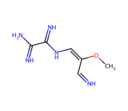 CO/C(C=N)=C/NC(=N)C(=N)N